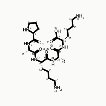 C[C@H](NC(=O)[C@@H]1CCCN1)C(=O)N[C@@H](CCCCN)C(=O)N[C@@H](C)C(=O)N[C@@H](CCCCN)C(=O)O